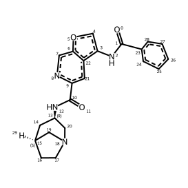 O=C(Nc1coc2cnc(C(=O)N[C@@H]3C[C@@H]4CCN(C4)C3)cc12)c1ccccc1